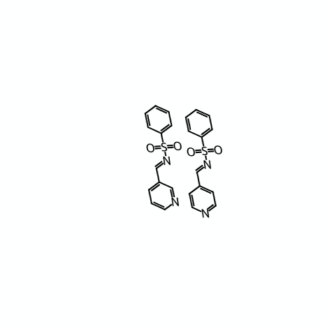 O=S(=O)(/N=C/c1cccnc1)c1ccccc1.O=S(=O)(/N=C/c1ccncc1)c1ccccc1